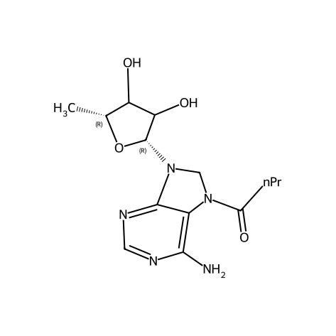 CCCC(=O)N1CN([C@@H]2O[C@H](C)C(O)C2O)c2ncnc(N)c21